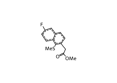 COC(=O)Cc1ccc2cc(F)ccc2c1SC